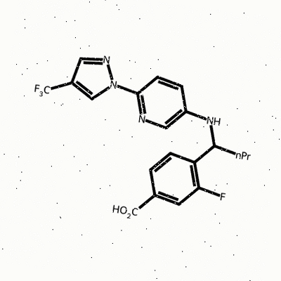 CCCC(Nc1ccc(-n2cc(C(F)(F)F)cn2)nc1)c1ccc(C(=O)O)cc1F